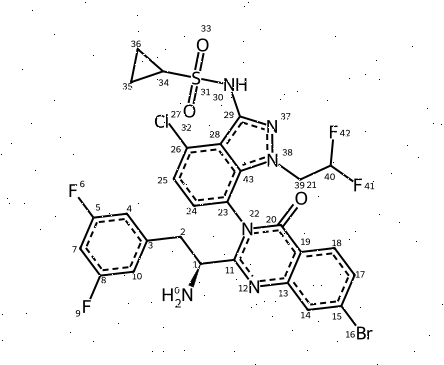 N[C@@H](Cc1cc(F)cc(F)c1)c1nc2cc(Br)ccc2c(=O)n1-c1ccc(Cl)c2c(NS(=O)(=O)C3CC3)nn(CC(F)F)c12